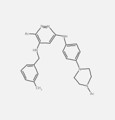 CC(=O)c1nnc(Nc2ccc(N3CCN(C(C)=O)CC3)cc2)cc1NCc1cccc(C)c1